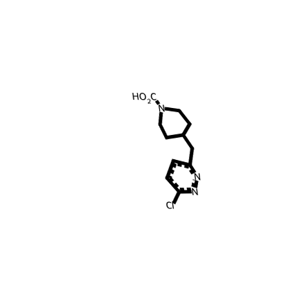 O=C(O)N1CCC(Cc2ccc(Cl)nn2)CC1